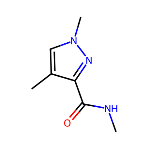 CNC(=O)c1nn(C)cc1C